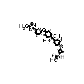 Cc1nc(-c2cccc(Oc3ccc(C(C)(C)c4ccc(O[C@H]5C[C@H](NC(=O)O)C5)cc4)cc3)n2)no1